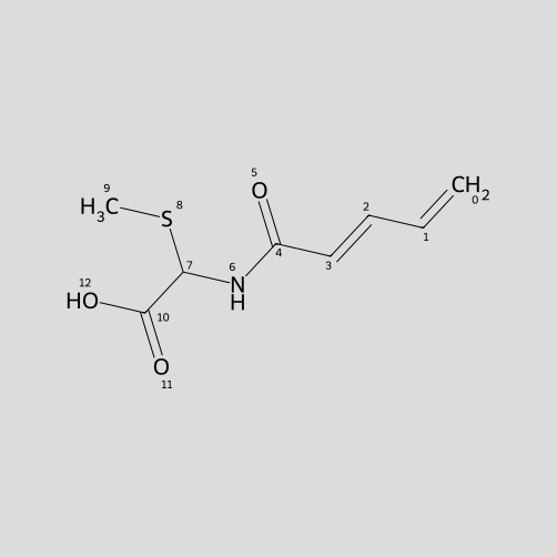 C=CC=CC(=O)NC(SC)C(=O)O